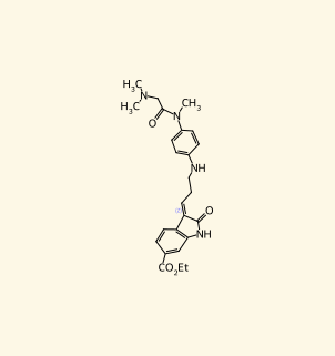 CCOC(=O)c1ccc2c(c1)NC(=O)/C2=C\CCNc1ccc(N(C)C(=O)CN(C)C)cc1